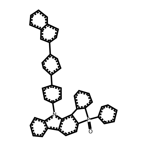 O=P1(c2ccccc2)c2ccccc2-c2c1ccc1c3ccccc3n(-c3ccc(-c4ccc(-c5ccc6ccccc6c5)cc4)cc3)c21